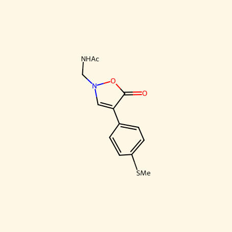 CSc1ccc(-c2cn(CNC(C)=O)oc2=O)cc1